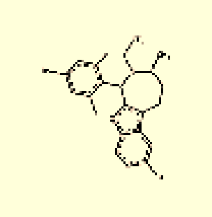 CC1CCc2c(oc3ccc(O)cc23)C(c2c(F)cc(Br)cc2F)N1CC(F)(F)F